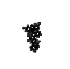 Cc1ccc(N(C2=CC3=C(c4cc5c(cc4C3(C)C)-c3ccccc3C5(C)C)C3CC=CC=C23)c2ccc(C)cc2C)c(C)c1